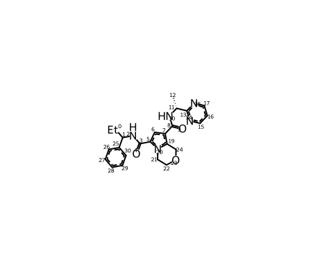 CCC(NC(=O)c1cc(C(=O)N[C@H](C)c2ncccn2)c2n1CCOC2)c1ccccc1